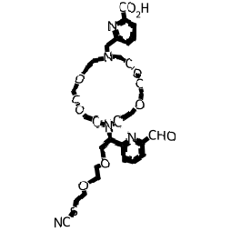 N#CSCCOCCOCC(c1cccc(C=O)n1)N1CCOCCOCCN(Cc2cccc(C(=O)O)n2)CCOCCOCC1